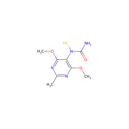 COc1nc(C)nc(OC)c1N(S)C(N)=O